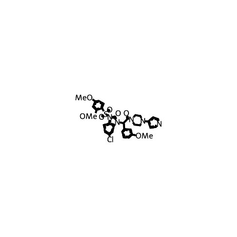 COc1cccc(C(C(=O)N2CCN(c3ccncc3)CC2)n2c(=O)n(S(=O)(=O)c3ccc(OC)cc3OC)c3ccc(Cl)cc32)c1